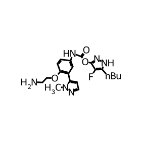 CCCCc1[nH]nc(OC(=O)Nc2ccc(OCCN)c(-c3ccnn3C)c2)c1F